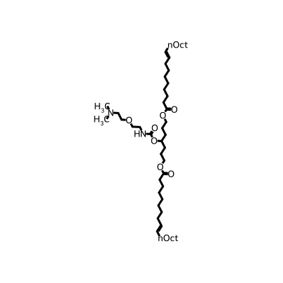 CCCCCCCC/C=C/CCCCCCCC(=O)OCCCC(CCCOC(=O)CCCCCCC/C=C/CCCCCCCC)OC(=O)NCCOCCN(C)C